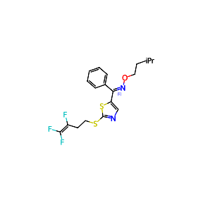 CC(C)CCO/N=C(\c1ccccc1)c1cnc(SCCC(F)=C(F)F)s1